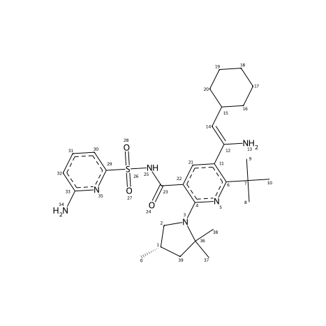 C[C@@H]1CN(c2nc(C(C)(C)C)c(/C(N)=C/C3CCCCC3)cc2C(=O)NS(=O)(=O)c2cccc(N)n2)C(C)(C)C1